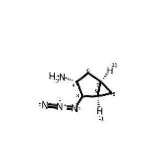 [N-]=[N+]=NC1[C@H](N)C[C@H]2C[C@@H]12